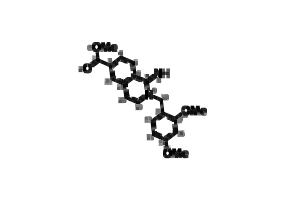 COC(=O)c1ccc2c(=N)n(Cc3ccc(OC)cc3OC)ccc2c1